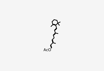 CC(=O)O/C=C/C(C)=C/C/C=C(C)/C=C/C1=C(C)CCCC1(C)C